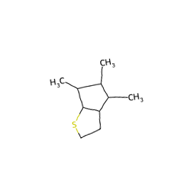 CC1C(C)C2CCSC2C1C